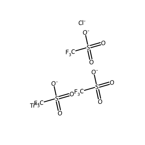 O=S(=O)([O-])C(F)(F)F.O=S(=O)([O-])C(F)(F)F.O=S(=O)([O-])C(F)(F)F.[Cl-].[Ti+4]